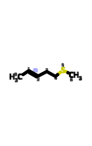 C/C=C/CCSC